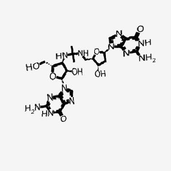 CC(C)(NC[C@H]1O[C@@H](n2cnc3c(=O)[nH]c(N)nc32)C[C@@H]1O)N[C@H]1[C@@H](O)[C@H](n2cnc3c(=O)[nH]c(N)nc32)O[C@@H]1CO